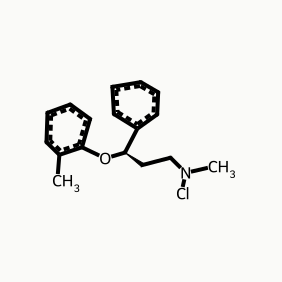 Cc1ccccc1O[C@H](CCN(C)Cl)c1ccccc1